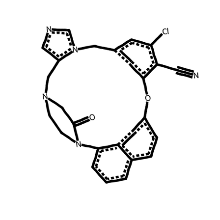 N#Cc1c(Cl)cc2cc1Oc1ccc3cccc(c3c1)N1CCN(CC1=O)Cc1cncn1C2